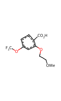 COCCOc1cc(OC(F)(F)F)ccc1C(=O)O